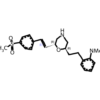 CNc1ccccc1CC[C@@H]1CNC[C@@H](/C=C/c2ccc(S(C)(=O)=O)cc2)O1